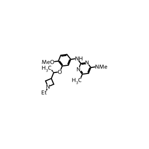 CCN1CC([C@@H](C)Oc2cc(Nc3nc(C)cc(NC)n3)ccc2OC)C1